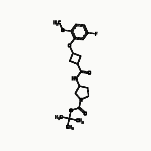 COc1ccc(F)cc1OC1CC(C(=O)NC2CCN(C(=O)OC(C)(C)C)C2)C1